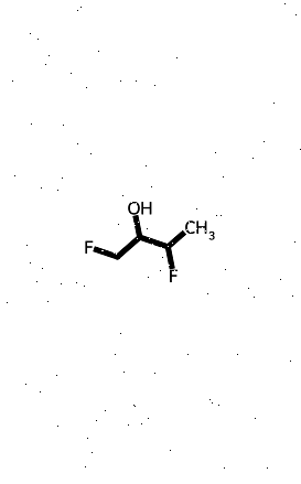 CC(F)C(O)CF